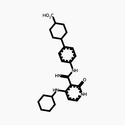 N=C(Nc1ccc(C2CCC(C(=O)O)CC2)cc1)c1c(NC2CCCCC2)cc[nH]c1=O